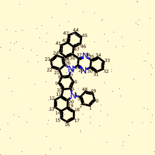 c1ccc(-n2c3cc4c(cc3c3ccc5ccccc5c32)c2ccccc2n4-c2nc3ccccc3nc2-c2cccc3ccccc23)cc1